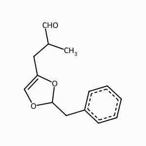 CC(C=O)CC1=COC(Cc2ccccc2)O1